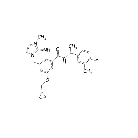 Cc1cc(C(C)NC(=O)c2cc(Cn3ccn(C)c3=N)cc(OCC3CC3)c2)ccc1F